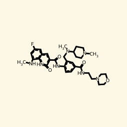 CNc1cc(F)cc2cc(C(=O)Nc3ccc(C(=O)NCCN4CCOCC4)cc3CN(C)C3CCN(C)CC3)c(=O)[nH]c12